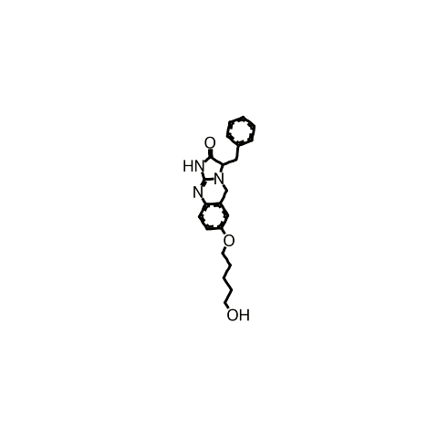 O=C1NC2=Nc3ccc(OCCCCCO)cc3CN2C1Cc1ccccc1